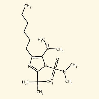 CCCCCCc1nc(C(C)(C)C)n(S(=O)(=O)N(C)C)c1[SiH](C)C